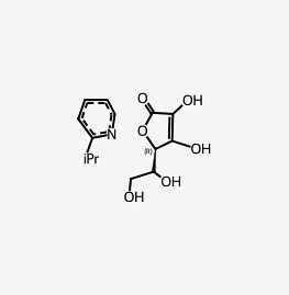 CC(C)c1ccccn1.O=C1O[C@H](C(O)CO)C(O)=C1O